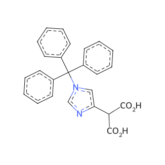 O=C(O)C(C(=O)O)c1cn(C(c2ccccc2)(c2ccccc2)c2ccccc2)cn1